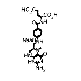 CN1c2c([nH]c(N)nc2=O)NCC1CNc1ccc(C(=O)N[C@@H](CCC(=O)O)C(=O)O)cc1.[NaH].[NaH]